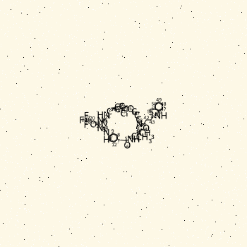 CC1(C)CNC(=O)c2ccc(cc2)Nc2nc(nc(OCC(F)(F)F)n2)NCc2ccc(c(Cl)c2)OCCCN(C(=O)CCC2Nc3ccccc3S2)C1